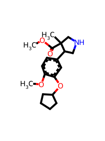 COC(=O)C1(C)CNCC1c1ccc(OC)c(OC2CCCC2)c1